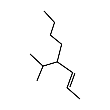 CC=CC(CCCC)C(C)C